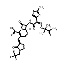 CC(C)(O/N=C(\C(=O)N[C@@H]1C(=O)N2C(C(=O)O)=C(/C=C3\CCN(CC(F)(F)F)C3=O)CS[C@H]12)c1csc(N)n1)C(N)=O